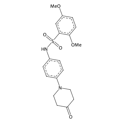 COc1ccc(OC)c(S(=O)(=O)Nc2ccc(N3CCC(=O)CC3)cc2)c1